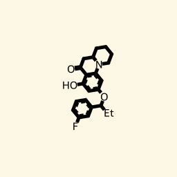 CCC(Oc1cc(O)c2c(c1)N1CCCCC1CC2=O)c1cccc(F)c1